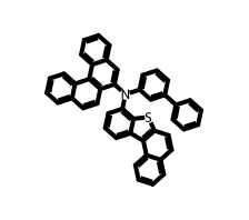 c1ccc(-c2cccc(N(c3cc4ccccc4c4c3ccc3ccccc34)c3cccc4c3sc3ccc5ccccc5c34)c2)cc1